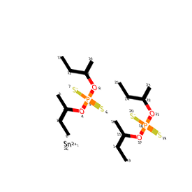 CCC(C)OP(=S)([S-])OC(C)CC.CCC(C)OP(=S)([S-])OC(C)CC.[Sn+2]